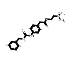 CN(C)CCNC(=O)Cc1ccc(NC(=O)OCc2ccccc2)cc1